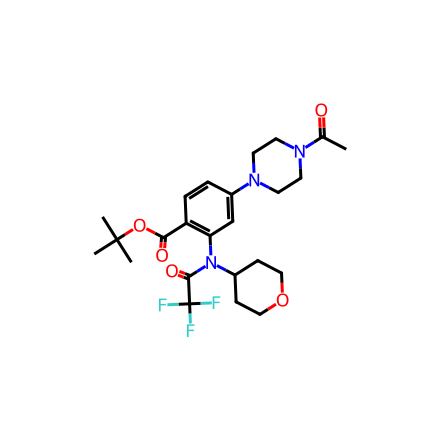 CC(=O)N1CCN(c2ccc(C(=O)OC(C)(C)C)c(N(C(=O)C(F)(F)F)C3CCOCC3)c2)CC1